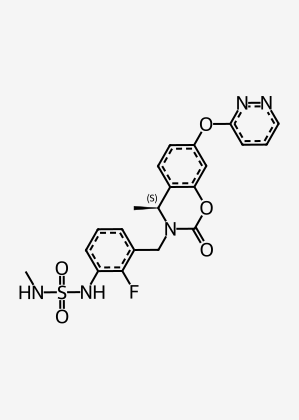 CNS(=O)(=O)Nc1cccc(CN2C(=O)Oc3cc(Oc4cccnn4)ccc3[C@@H]2C)c1F